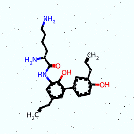 C=CCc1cc(NC(=O)C(N)CCCCN)c(O)c(-c2ccc(O)c(CC=C)c2)c1